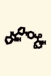 O=C(C1COCCN1)N1CCN(c2cccc(-c3nc4ccccc4[nH]3)c2)CC1